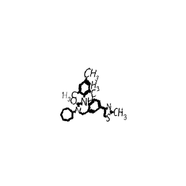 Cc1cc(C)c(NC(=O)N(Cc2cccc(-c3csc(C)n3)c2)C2CCCCCC2)c(C)c1